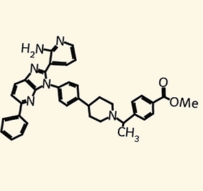 COC(=O)c1ccc(C(C)N2CCC(c3ccc(-n4c(-c5cccnc5N)nc5ccc(-c6ccccc6)nc54)cc3)CC2)cc1